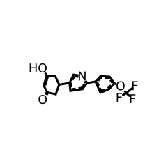 O=C1C=C(O)CC(c2ccc(-c3ccc(OC(F)(F)F)cc3)nc2)C1